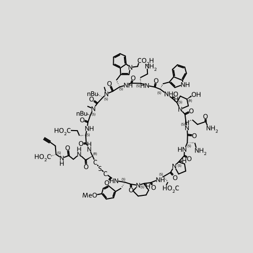 C#CC[C@H](NC(=O)CNC(=O)[C@@H]1CSCC(=O)N[C@@H](Cc2ccc(OC)cc2)C(=O)N2CCCC[C@H]2C(=O)N[C@@H](CC(=O)O)C(=O)N2CCC[C@H]2C(=O)N[C@@H](CN)C(=O)N[C@@H](CCC(N)=O)C(=O)N2C[C@H](O)C[C@H]2C(=O)N[C@@H](Cc2c[nH]c3ccccc23)C(=O)N[C@@H](CCN)C(=O)N[C@@H](Cc2cn(CC(=O)O)c3ccccc23)C(=O)N(C)[C@@H](CCCC)C(=O)N(C)[C@@H](CCCC)C(=O)N[C@@H](CCC(=O)O)C(=O)N1)C(=O)O